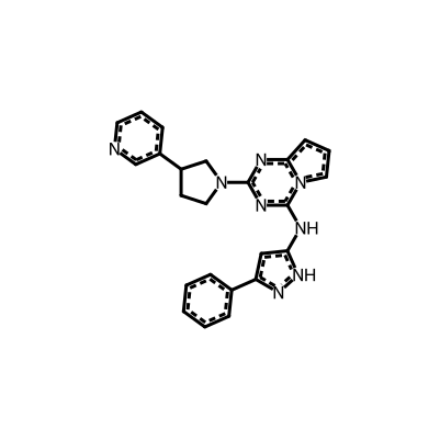 c1ccc(-c2cc(Nc3nc(N4CCC(c5cccnc5)C4)nc4cccn34)[nH]n2)cc1